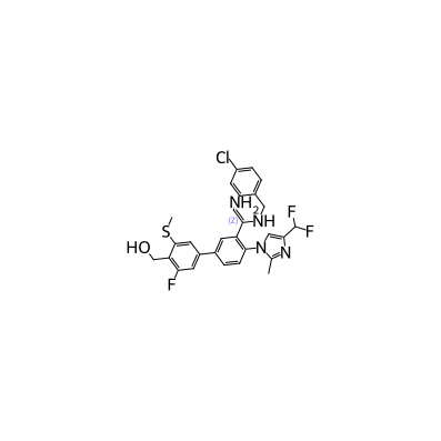 CSc1cc(-c2ccc(-n3cc(C(F)F)nc3C)c(/C(=C/N)NCc3ccc(Cl)cc3)c2)cc(F)c1CO